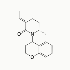 C/C=C1\CC[C@H](C)N(C2CCOc3ccccc32)C1=O